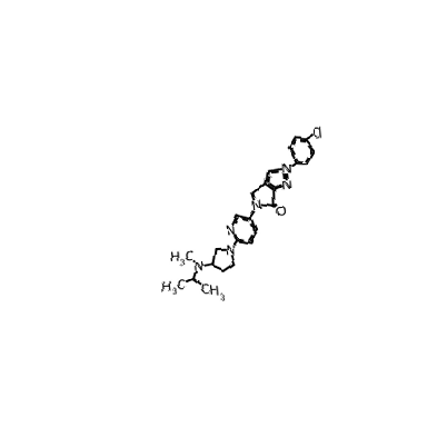 CC(C)N(C)C1CCN(c2ccc(N3Cc4cn(-c5ccc(Cl)cc5)nc4C3=O)cn2)C1